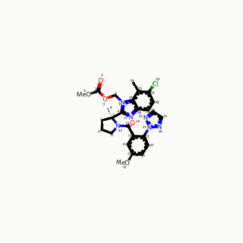 COC(=O)OCn1c([C@]2(C)CCCN2C(=O)c2cc(OC)ccc2-n2nccn2)nc2ccc(Cl)c(C)c21